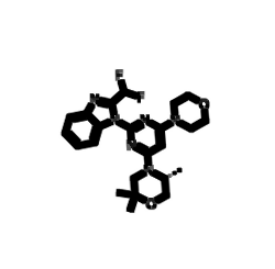 C[C@@H]1COC(C)(C)CN1c1cc(N2CCOCC2)nc(-n2c(C(F)F)nc3ccccc32)n1